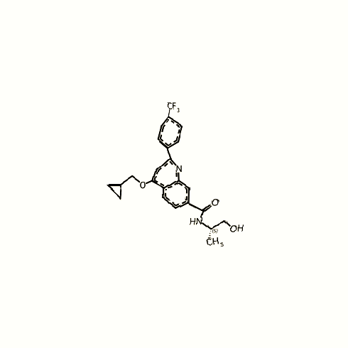 C[C@@H](CO)NC(=O)c1ccc2c(OCC3CC3)cc(-c3ccc(C(F)(F)F)cc3)nc2c1